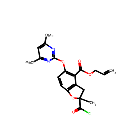 C=CCOC(=O)c1c(Oc2nc(OC)cc(OC)n2)ccc2c1CC(C)(C(=O)Cl)O2